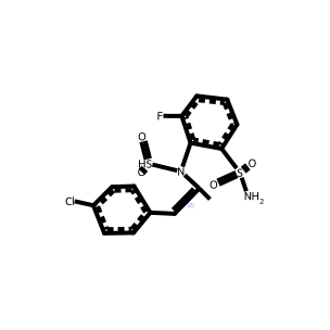 C/C(=C/c1ccc(Cl)cc1)N(c1c(F)cccc1S(N)(=O)=O)[SH](=O)=O